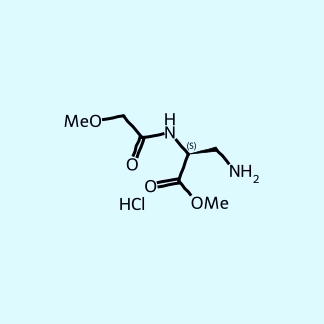 COCC(=O)N[C@@H](CN)C(=O)OC.Cl